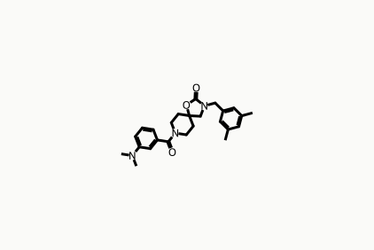 Cc1cc(C)cc(CN2CC3(CCN(C(=O)c4cccc(N(C)C)c4)CC3)OC2=O)c1